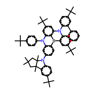 CC1(C)CC2(C)c3cc(C(C)(C)C)ccc3N(c3ccc4c(c3)N(c3ccc(C(C)(C)C)cc3)c3cc(C(C)(C)C)cc5c3B4c3cc(C(C)(C)C)ccc3N5c3ccc(C(C)(C)C)cc3-c3ccccc3)C2(C)C1